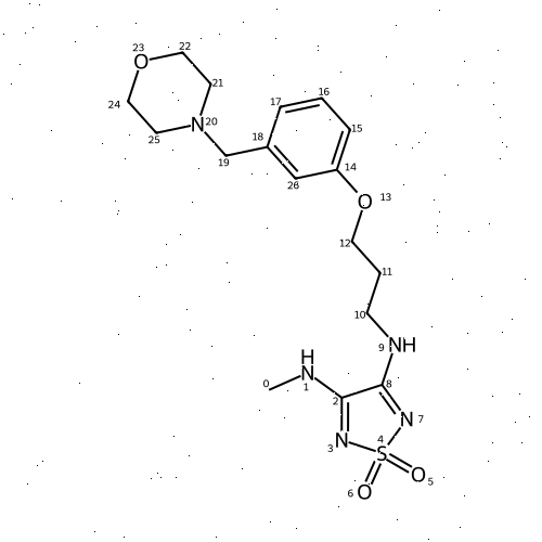 CNC1=NS(=O)(=O)N=C1NCCCOc1cccc(CN2CCOCC2)c1